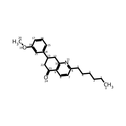 CCCCCCc1ccc2c(n1)CC(c1cccc(OC)c1)CC2=O